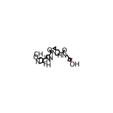 COc1cc(-c2cc(C(=O)N3CC[C@H](C(=O)NCC45CC(O)(C4)C5)CC34CC4)n[nH]2)c(F)cn1